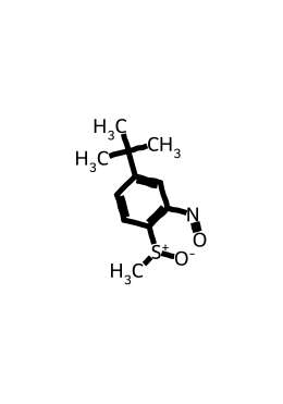 C[S+]([O-])c1ccc(C(C)(C)C)cc1N=O